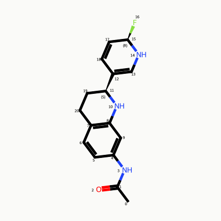 CC(=O)Nc1ccc2c(c1)N[C@H](C1=CN[C@H](F)C=C1)CC2